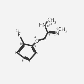 C/N=C(/COc1ccccc1F)NC